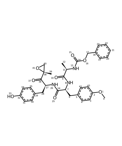 COc1ccc(C[C@H](NC(=O)[C@@H](C)NC(=O)OCc2ccccc2)C(=O)N[C@@H](Cc2ccc(O)cc2)C(=O)[C@@]2(C)CO2)cc1